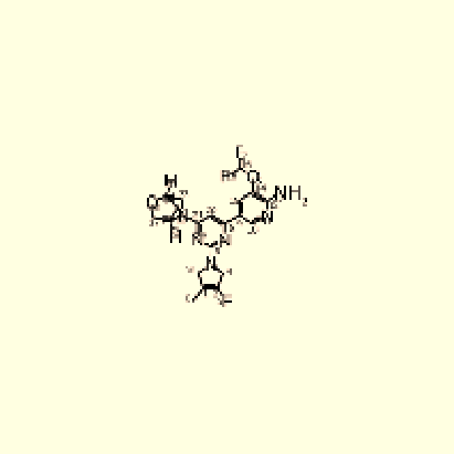 CC1=C(F)CN(c2nc(-c3cnc(N)c(OC(F)F)c3)cc(N3C[C@@H]4C[C@H]3CO4)n2)C1